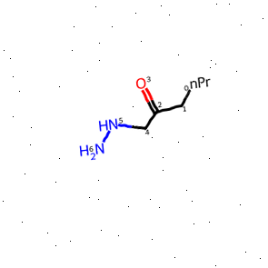 CCCCC(=O)CNN